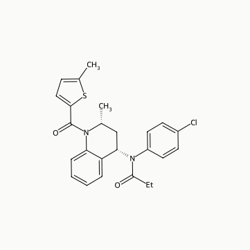 CCC(=O)N(c1ccc(Cl)cc1)[C@H]1C[C@@H](C)N(C(=O)c2ccc(C)s2)c2ccccc21